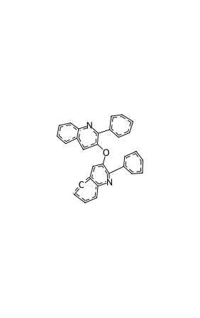 c1ccc(-c2nc3ccccc3cc2Oc2cc3ccccc3nc2-c2ccccc2)cc1